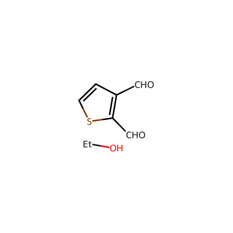 CCO.O=Cc1ccsc1C=O